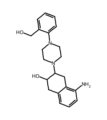 Nc1cccc2c1CC(N1CCN(c3ccccc3CO)CC1)C(O)C2